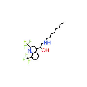 CCCCCCCCNCC(O)c1cc(C(F)(F)F)nc2c(C(F)(F)F)cccc12